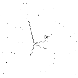 CCCCCCCCCCC[P+](CCCCCC)(CCCCCC)CCCCCC.[Br-]